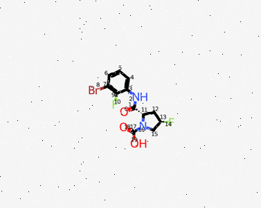 O=C(Nc1cccc(Br)c1F)[C@@H]1C[C@@H](F)CN1C(=O)O